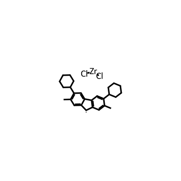 Cc1cc2c(cc1C1CCCCC1)-c1cc(C3CCCCC3)c(C)cc1[CH]2.[Cl][Zr][Cl]